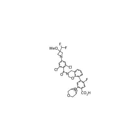 COC1(C(F)F)CN(c2cc(Cl)c(C(=O)N3COc4c(cccc4-c4cc(N5C6CCC5COC6)c(C(=O)O)cc4F)C3)c(Cl)c2)C1